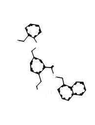 O=C(O)CCc1ccc(COc2ccccc2CO)cc1C(=O)NCc1cccc2ccccc12